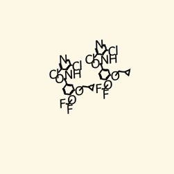 O=C(Nc1c(Cl)cncc1Cl)c1ccc(OC(F)F)c(OCC2CC2)c1.O=C(Nc1c(Cl)cncc1Cl)c1ccc(OC(F)F)c(OCC2CC2)c1